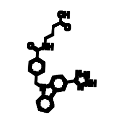 O=C(O)CCCNC(=O)c1ccc(Cn2c3ccccc3c3cc(-c4nn[nH]n4)ccc32)cc1